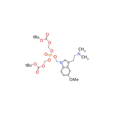 COc1ccc2c(c1)c(CCN(C)C)cn2COP(=O)(OCOC(=O)OC(C)(C)C)OCOC(=O)OC(C)(C)C